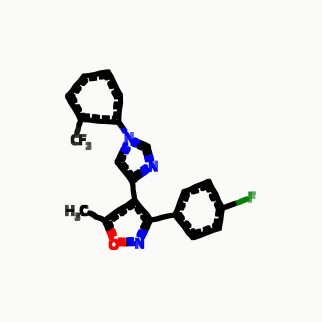 Cc1onc(-c2ccc(F)cc2)c1-c1cn(-c2ccccc2C(F)(F)F)cn1